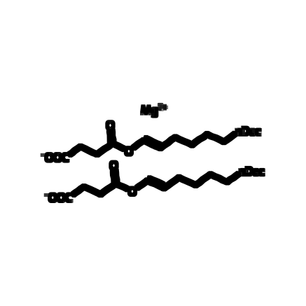 CCCCCCCCCCCCCCC=COC(=O)CCC(=O)[O-].CCCCCCCCCCCCCCC=COC(=O)CCC(=O)[O-].[Mg+2]